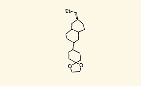 CC/C=C1/CCC2CC(C3CCC4(CC3)OCCO4)CCC2C1